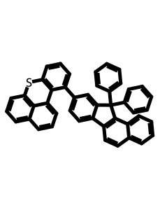 c1ccc(C2(c3ccccc3)c3cc(-c4cccc5c4-c4cccc6cccc(c46)S5)ccc3-c3ccc4ccccc4c32)cc1